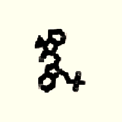 CS(=O)(=O)CCn1c(CN2C(=O)C3(CC3)c3ccncc32)cc2cnccc21